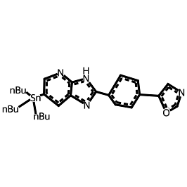 CCC[CH2][Sn]([CH2]CCC)([CH2]CCC)[c]1cnc2[nH]c(-c3ccc(-c4cnco4)cc3)nc2c1